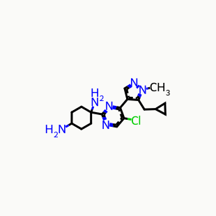 Cn1ncc(-c2nc(C3(N)CCC(N)CC3)ncc2Cl)c1CC1CC1